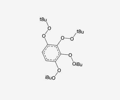 CC(C)COOc1ccc(OOC(C)(C)C)c(OOC(C)(C)C)c1OOCC(C)C